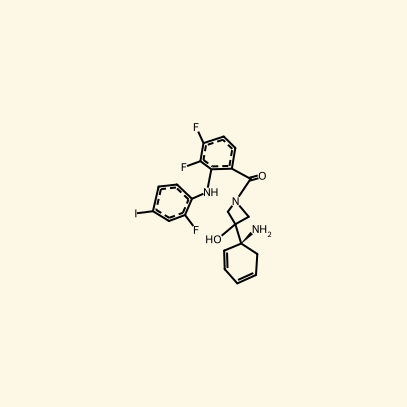 N[C@]1(C2(O)CN(C(=O)c3ccc(F)c(F)c3Nc3ccc(I)cc3F)C2)C=CC=CC1